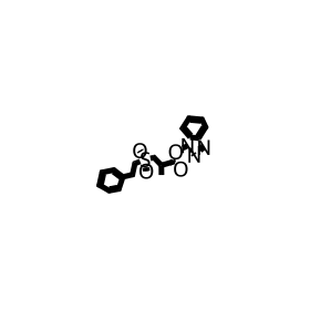 CC(CS(=O)(=O)CCc1ccccc1)C(=O)On1nnc2ccccc21